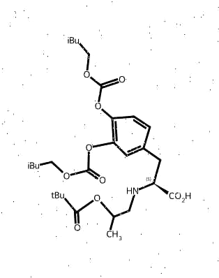 CCC(C)COC(=O)Oc1ccc(C[C@H](NCC(C)OC(=O)C(C)(C)C)C(=O)O)cc1OC(=O)OCC(C)CC